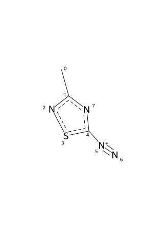 Cc1nsc([N+]#N)n1